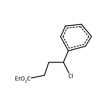 CCOC(=O)CCC(Cl)c1ccccc1